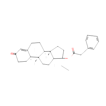 CC[C@@]1(OC(=O)Cc2ccccc2)CC[C@H]2[C@@H]3CCC4=CC(=O)CC[C@@H]4[C@H]3CC[C@@H]21